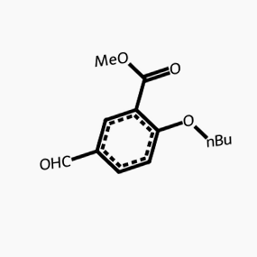 CCCCOc1ccc(C=O)cc1C(=O)OC